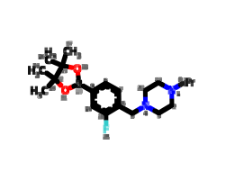 CC(C)N1CCN(Cc2ccc(B3OC(C)(C)C(C)(C)O3)cc2F)CC1